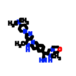 C=C(Nc1cc2cc(/C(C=N)=C(\CN3CCOCC3)NC)ccc2cn1)c1ccnc(N2CCC(N(C)C)CC2)c1